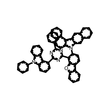 c1ccc(-c2nc(-c3c(-n4c5cc6ccccc6cc5c5c6ccccc6ccc54)ccc4c3oc3ccccc34)nc(-c3cccc4c3c3ccccc3n4-c3ccccc3)n2)cc1